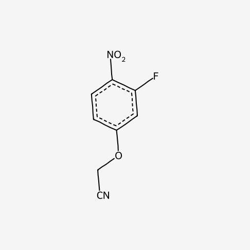 N#CCOc1ccc([N+](=O)[O-])c(F)c1